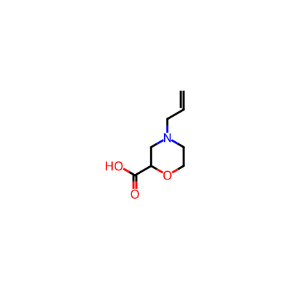 C=CCN1CCOC(C(=O)O)C1